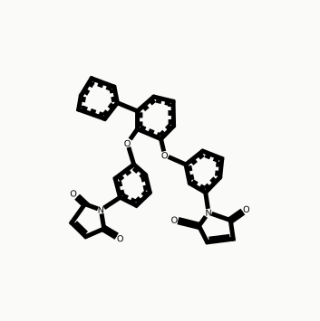 O=C1C=CC(=O)N1c1cccc(Oc2cccc(-c3ccccc3)c2Oc2cccc(N3C(=O)C=CC3=O)c2)c1